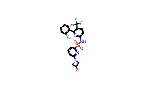 O=S(=O)(Nc1ccc(C(F)(F)F)c(-c2ccccc2Cl)n1)c1cccc(N2CC(O)C2)n1